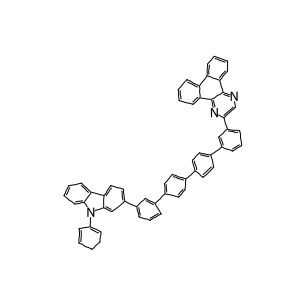 C1=CC(n2c3ccccc3c3ccc(-c4cccc(-c5ccc(-c6ccc(-c7cccc(-c8cnc9c%10ccccc%10c%10ccccc%10c9n8)c7)cc6)cc5)c4)cc32)=CCC1